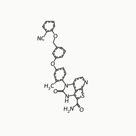 Cc1cc(Oc2cccc(COc3ccccc3C#N)c2)ccc1N1C(=O)Nc2c(C(N)=O)sc3nccc1c23